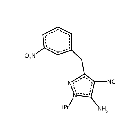 [C-]#[N+]c1c(Cc2cccc([N+](=O)[O-])c2)nn(C(C)C)c1N